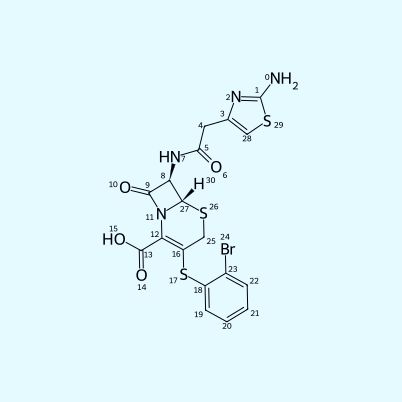 Nc1nc(CC(=O)N[C@@H]2C(=O)N3C(C(=O)O)=C(Sc4ccccc4Br)CS[C@@H]23)cs1